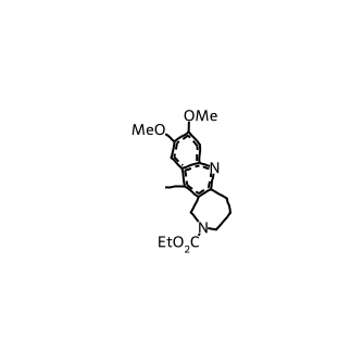 CCOC(=O)N1CCCc2nc3cc(OC)c(OC)cc3c(C)c2C1